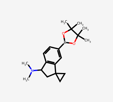 CN(C)C1CC2(CC2)c2cc(B3OC(C)(C)C(C)(C)O3)ccc21